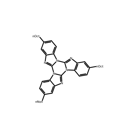 CCCCCCCCCc1ccc2c(c1)nc1n3c4ccc(CCCCCCCC)cc4nc3n3c4ccc(CCCCCCCC)cc4nc3n21